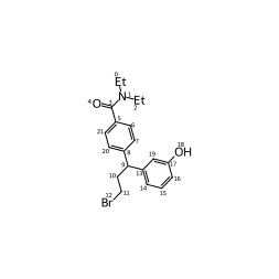 CCN(CC)C(=O)c1ccc(C(CCBr)c2cccc(O)c2)cc1